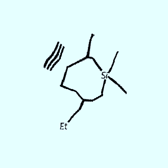 C#C.CCC1CCC(C)[Si](C)(C)C1